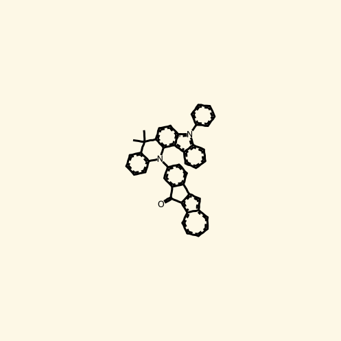 CC1(C)c2ccccc2N(c2ccc3c(c2)C(=O)c2c4cccccc-4cc2-3)c2c1ccc1c2c2ccccc2n1-c1ccccc1